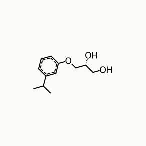 CC(C)c1cccc(OC[C@H](O)CO)c1